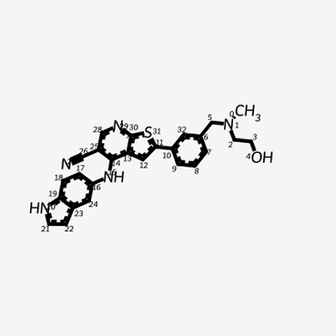 CN(CCO)Cc1cccc(-c2cc3c(Nc4ccc5[nH]ccc5c4)c(C#N)cnc3s2)c1